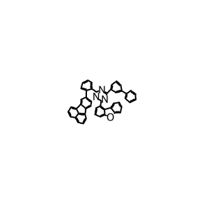 c1ccc(-c2cccc(-c3nc(-c4ccccc4-c4ccc5c(c4)-c4cccc6cccc-5c46)nc(-c4cccc5oc6ccccc6c45)n3)c2)cc1